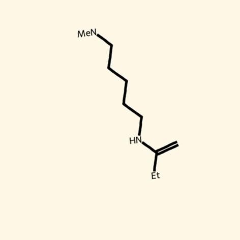 C=C(CC)NCCCCCNC